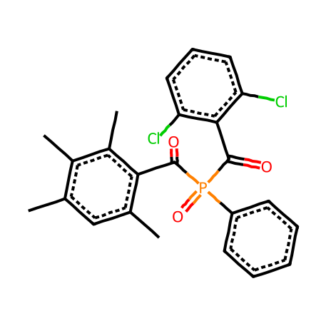 Cc1cc(C)c(C(=O)P(=O)(C(=O)c2c(Cl)cccc2Cl)c2ccccc2)c(C)c1C